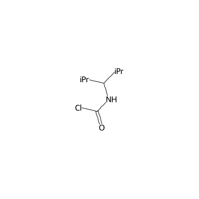 CC(C)C(NC(=O)Cl)C(C)C